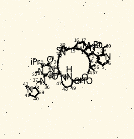 CCn1c(-c2cccnc2[C@H](C)OC)c2c3cc(ccc31)-c1csc(n1)C[C@H](NC(=O)[C@H](C(C)C)N(C)C(=O)N(C)C[C@@H]1CCCN1C)C(=O)N1CCC[C@](C=O)(COCC(C)(C)C2)N1